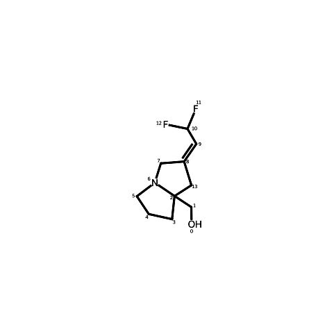 OCC12CCCN1C/C(=C\C(F)F)C2